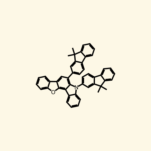 CC1(C)c2ccccc2-c2ccc(-c3cc4c5ccccc5oc4c4c5ccccc5n(-c5ccc6c(c5)C(C)(C)c5ccccc5-6)c34)cc21